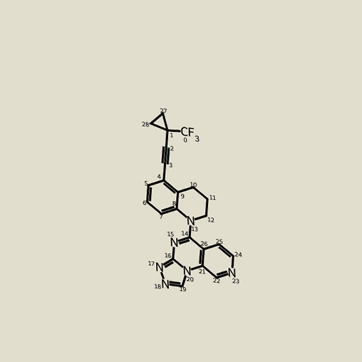 FC(F)(F)C1(C#Cc2cccc3c2CCCN3c2nc3nncn3c3cnccc23)CC1